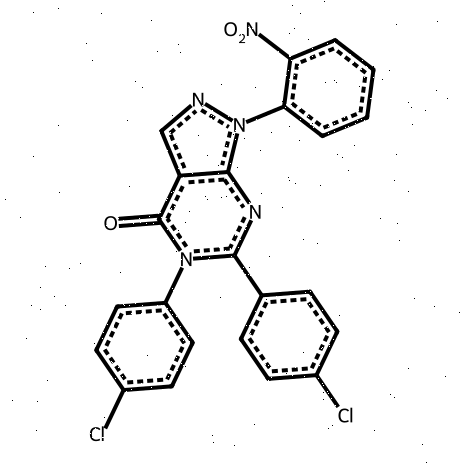 O=c1c2cnn(-c3ccccc3[N+](=O)[O-])c2nc(-c2ccc(Cl)cc2)n1-c1ccc(Cl)cc1